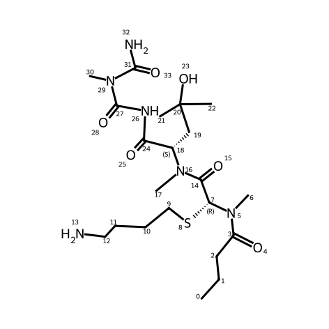 CCCC(=O)N(C)[C@H](SCCCCN)C(=O)N(C)[C@@H](CC(C)(C)O)C(=O)NC(=O)N(C)C(N)=O